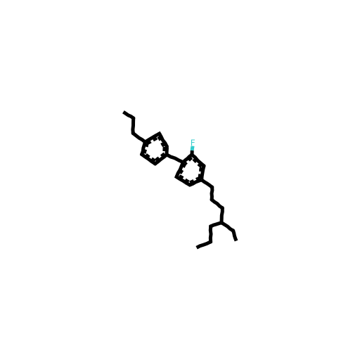 CCCc1ccc(-c2ccc(CCCC(CC)CCC)cc2F)cc1